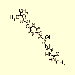 CNC(=O)NCCNCC(O)COc1ccc(OCCOC(C)C)cc1